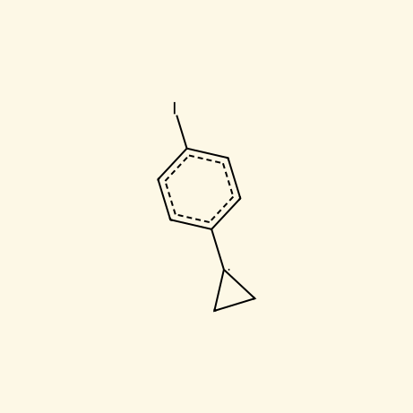 Ic1ccc([C]2CC2)cc1